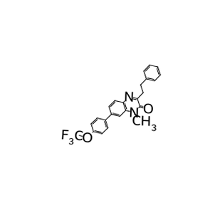 Cn1c(=O)c(CCc2ccccc2)nc2ccc(-c3ccc(OC(F)(F)F)cc3)cc21